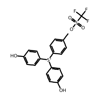 Cc1ccc([S+](c2ccc(O)cc2)c2ccc(O)cc2)cc1.O=S(=O)([O-])C(F)(F)F